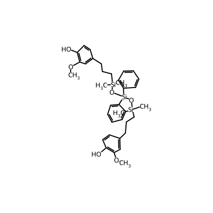 COc1cc(CCC[Si](C)(C)O[Si](O[Si](C)(C)CCCc2ccc(O)c(OC)c2)(c2ccccc2)c2ccccc2)ccc1O